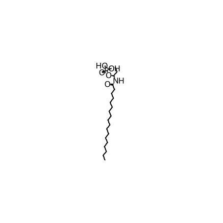 CCCCCCCCCCCCCCCCCC(=O)NC(CC)OP(=O)(O)O